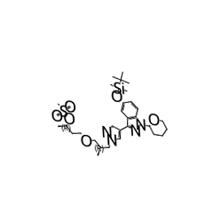 C[C@@H](COCC[C@@H](C)OS(C)(=O)=O)Cn1cc(-c2nn(C3CCCCO3)c3ccc(O[Si](C)(C)C(C)(C)C)cc23)cn1